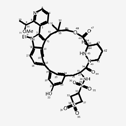 CCn1c(-c2cccnc2[C@H](C)OC)c2c3cc(ccc31)-c1cc(O)cc(c1)C[C@H](NS(=O)(=O)C1CS(=O)(=O)C1)C(=O)N1CCC[C@H](N1)C(=O)OCC(C)(C)C2